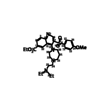 CCOC(=O)c1ccc2ncc(S(=O)(=O)c3ccc(OC)cc3)c(N3CCCN(CCN(CC)CC)CC3)c2c1